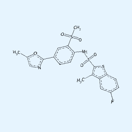 Cc1cnc(-c2ccc(NS(=O)(=O)c3sc4ccc(F)cc4c3C)c(S(C)(=O)=O)c2)o1